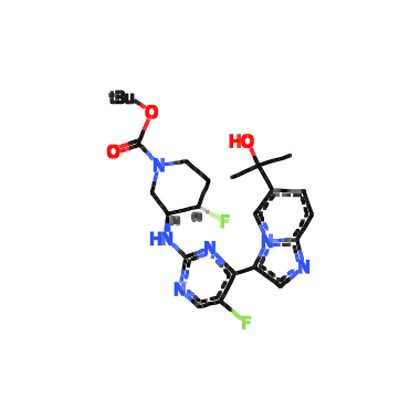 CC(C)(C)OC(=O)N1CC[C@H](F)[C@@H](Nc2ncc(F)c(-c3cnc4ccc(C(C)(C)O)cn34)n2)C1